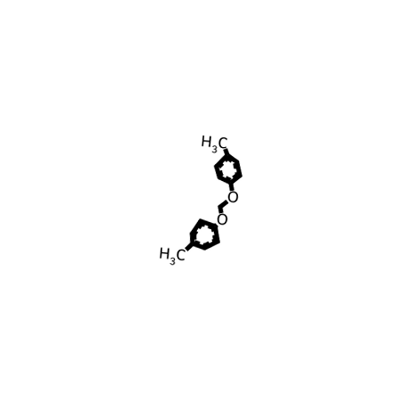 Cc1ccc(OCOc2ccc(C)cc2)cc1